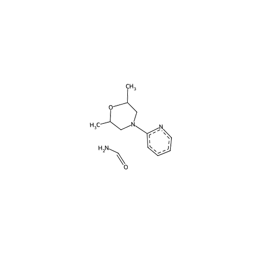 CC1CN(c2ccccn2)CC(C)O1.NC=O